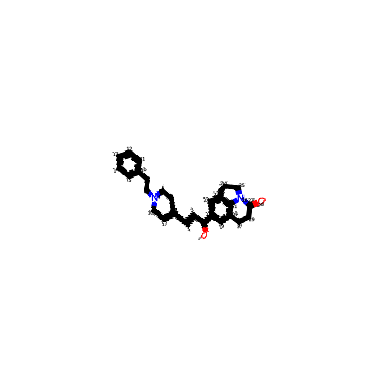 O=C(CCC1CCN(CCc2ccccc2)CC1)c1cc2c3c(c1)CCN3C(=O)CC2